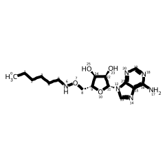 CCCCCCNOC[C@H]1O[C@@H](n2cnc3c(N)ncnc32)[C@H](O)[C@@H]1O